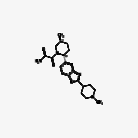 C[C@H]1CC[C@H](c2ccc3sc(C4CCN(C)CC4)nc3c2)N(C(=O)C(N)=O)C1